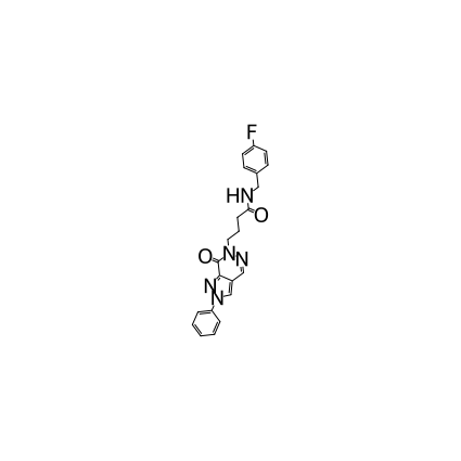 O=C(CCCn1ncc2cn(-c3ccccc3)nc2c1=O)NCc1ccc(F)cc1